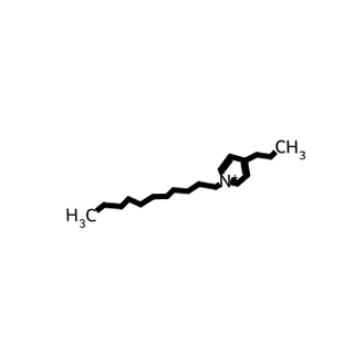 CCCCCCCCCCC[n+]1ccc(CCC)cc1